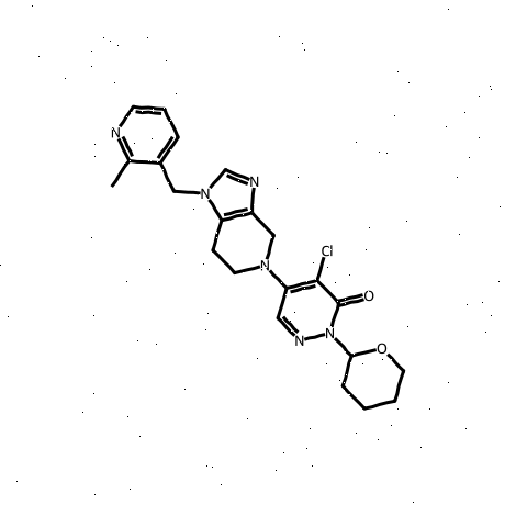 Cc1ncccc1Cn1cnc2c1CCN(c1cnn(C3CCCCO3)c(=O)c1Cl)C2